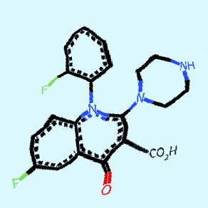 O=C(O)c1c(N2CCNCC2)n(-c2ccccc2F)c2ccc(F)cc2c1=O